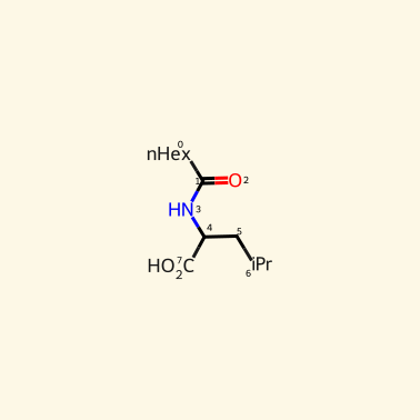 CCCCCCC(=O)NC(CC(C)C)C(=O)O